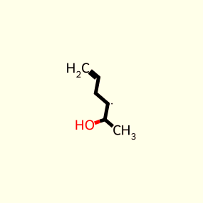 C=CC[CH]C(C)O